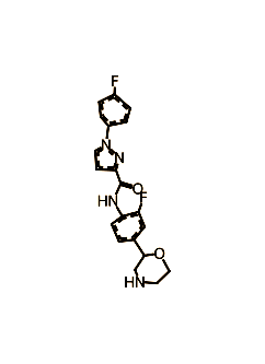 O=C(Nc1ccc(C2CNCCO2)cc1F)c1ccn(-c2ccc(F)cc2)n1